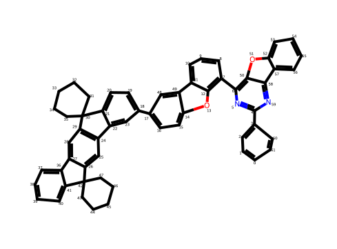 c1ccc(-c2nc(-c3cccc4c3oc3ccc(-c5ccc6c(c5)-c5cc7c(cc5C65CCCCC5)-c5ccccc5C75CCCCC5)cc34)c3oc4ccccc4c3n2)cc1